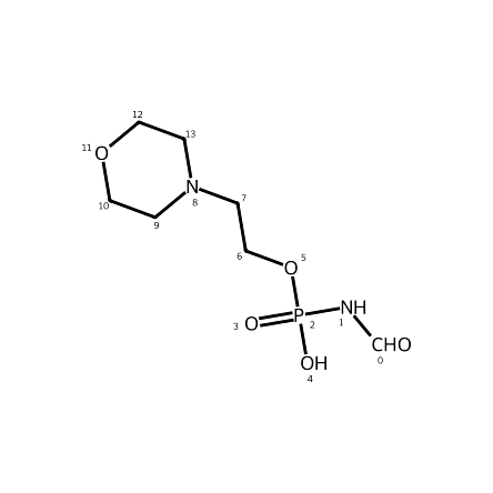 O=CNP(=O)(O)OCCN1CCOCC1